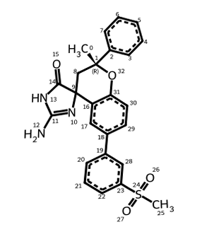 C[C@]1(c2ccccc2)CC2(N=C(N)NC2=O)c2cc(-c3cccc(S(C)(=O)=O)c3)ccc2O1